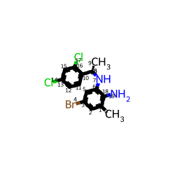 Cc1cc(Br)cc(N[C@H](C)c2ccc(Cl)cc2Cl)c1N